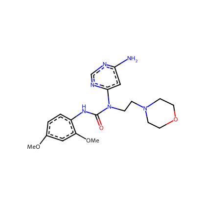 COc1ccc(NC(=O)N(CCN2CCOCC2)c2cc(N)ncn2)c(OC)c1